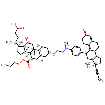 CC#C[C@@]1(O)CCC2C3CCC4=CC(=O)CCC4=C3[C@H](c3ccc(N(C)CCO[C@H]4CC[C@@]5(C)[C@@H](C4)C[C@@H](C(=O)OOCCN)[C@@H]4[C@@H]5C[C@H](O)[C@]5(C)[C@@H]([C@H](C)CCC(=O)O)CC[C@@H]45)cc3)C[C@@]21C